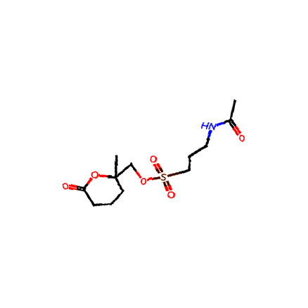 CC(=O)NCCCS(=O)(=O)OCC1(C)CCCC(=O)O1